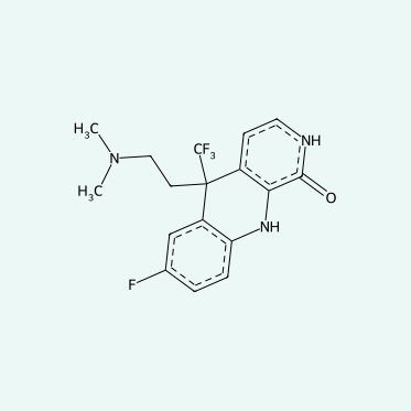 CN(C)CCC1(C(F)(F)F)c2cc(F)ccc2Nc2c1cc[nH]c2=O